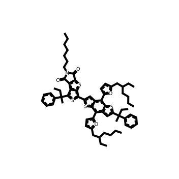 CCCCCCCN1C(=O)c2sc3c(-c4cc5c(-c6ccc(CC(CC)CCCC)o6)c6sc(C(C)(CC)c7ccccc7)cc6c(-c6ccc(CC(CC)CCCC)o6)c5s4)sc(C(C)(CC)c4ccccc4)c3c2C1=O